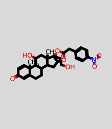 CC12C=CC(=O)C=C1CCC1C2C(O)CC2(C)C1CC1OC(Cc3ccc([N+](=O)[O-])cc3)OC12C(=O)CO